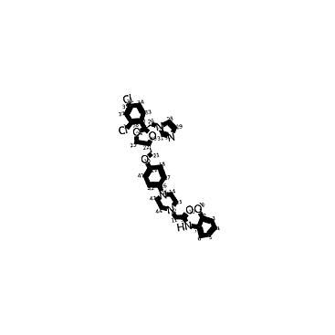 COc1ccccc1NC(=O)CN1CCN(c2ccc(OC[C@@H]3CO[C@@](Cn4ccnc4)(c4ccc(Cl)cc4Cl)O3)cc2)CC1